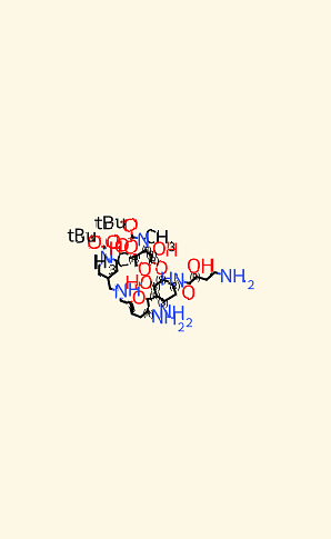 CN(C(=O)OC(C)(C)C)[C@@H]1[C@@H](O)[C@@H](O[C@@H]2[C@@H](O)[C@H](C3OC(CNCC4CCN(C(=O)OC(C)(C)C)CC4)=CC[C@H]3N)[C@@H](N)C[C@H]2NC(=O)[C@H](O)CCN)OC[C@]1(C)O